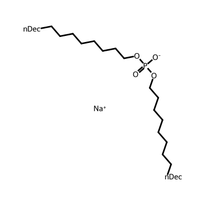 CCCCCCCCCCCCCCCCCCOP(=O)([O-])OCCCCCCCCCCCCCCCCCC.[Na+]